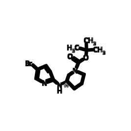 CC(C)(C)OC(=O)N1CCC[C@@H](Nc2ccc(Br)cn2)C1